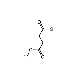 O=C(S)CCC(=O)OCl